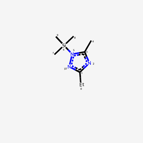 CCc1nc(C)n([Si](C)(C)C)n1